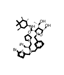 CC(C)C[C@@H](CN1CCCC1)N(Cc1cccc(CN2O[C@@H](CO)[C@@H]([C@H](C)O)[C@H]2C(=O)N[C@H]2C[C@@H](C)C(C)(C)[C@@H](C)[C@@H]2C)c1)Cc1ccc(Br)s1